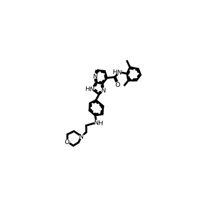 Cc1cccc(C)c1NC(=O)c1ccnc2[nH]c(-c3ccc(NCCN4CCOCC4)cc3)nc12